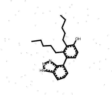 CCCCCc1c(O)ccc(-c2cccc3[nH]nnc23)c1CCCCC